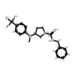 CN(c1ccc(C(F)(F)F)cc1)C1CCN(C(=O)OCc2ccccc2)C1